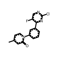 Cc1ccn(-c2cccc(-c3nc(Cl)ncc3F)c2)c(=O)c1